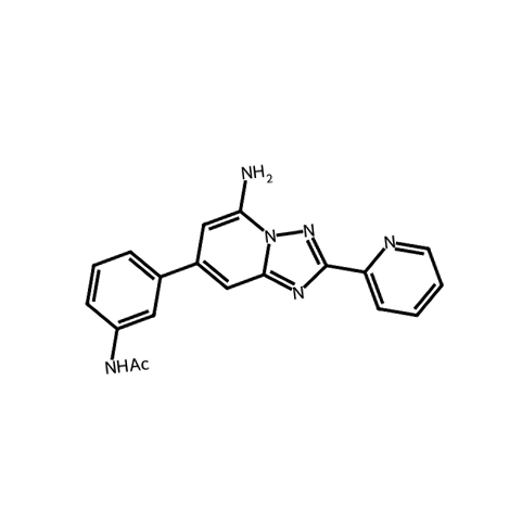 CC(=O)Nc1cccc(-c2cc(N)n3nc(-c4ccccn4)nc3c2)c1